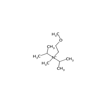 COCC[N+](C)(C(C)C)C(C)C